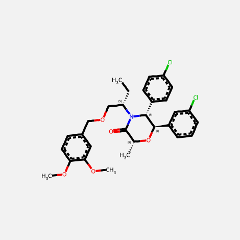 CC[C@@H](COCc1ccc(OC)c(OC)c1)N1C(=O)[C@@H](C)O[C@H](c2cccc(Cl)c2)[C@H]1c1ccc(Cl)cc1